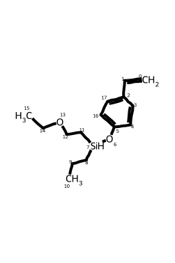 C=Cc1ccc(O[SiH](CCC)CCOCC)cc1